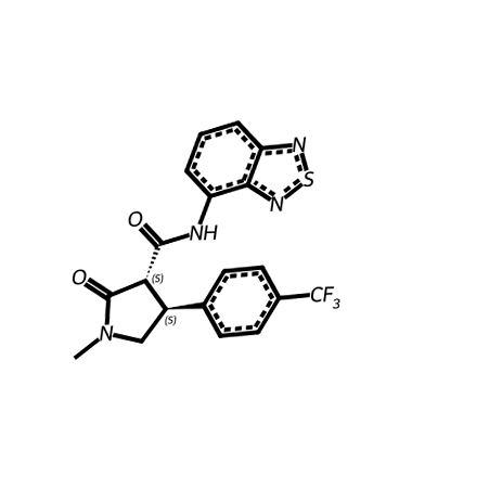 CN1C[C@H](c2ccc(C(F)(F)F)cc2)[C@@H](C(=O)Nc2cccc3nsnc23)C1=O